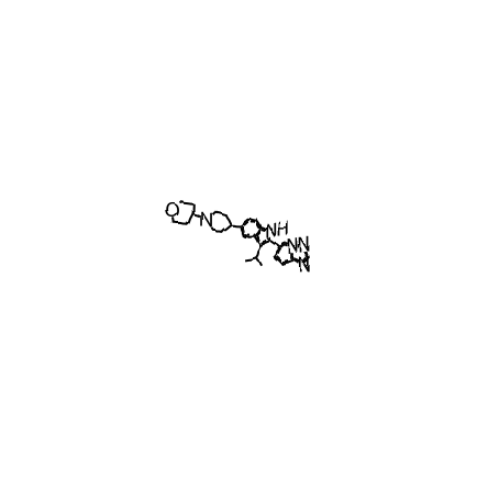 CC(C)c1c(-c2ccc3ncnn3c2)[nH]c2ccc(C3CCN(C4CCOCC4)CC3)cc12